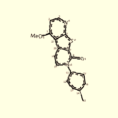 COc1ccnc2sc3c(=O)n(-c4ccc(C)cc4)ccc3c12